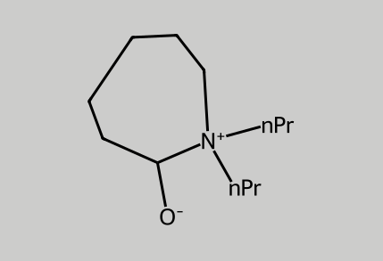 CCC[N+]1(CCC)CCCCCC1[O-]